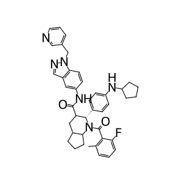 Cc1cccc(F)c1C(=O)N1C2CCCC2CC(C(=O)Nc2ccc3c(cnn3Cc3cccnc3)c2)[C@@H]1c1ccc(NC2CCCC2)cc1